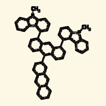 Cp1c2ccccc2c2c(-c3cccc4c(-c5ccc6cc7ccccc7cc6c5)c5cccc(-c6cccc7c6c6ccccc6p7C)c5cc34)cccc21